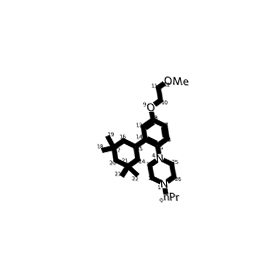 CCCN1CCN(c2ccc(OCCOC)cc2C2CC(C)(C)CC(C)(C)C2)CC1